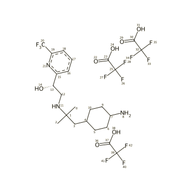 CC(C)(CC1CCC(N)CC1)NC[C@H](O)c1cccc(C(F)(F)F)n1.O=C(O)C(F)(F)F.O=C(O)C(F)(F)F.O=C(O)C(F)(F)F